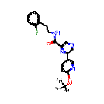 [2H]C([2H])([2H])Oc1ccc(-c2cncc(C(=O)NCCc3ccccc3F)n2)cn1